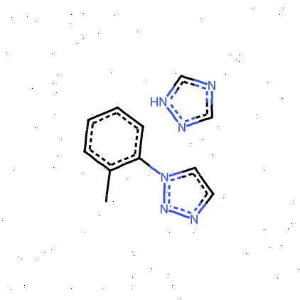 Cc1ccccc1-n1ccnn1.c1nc[nH]n1